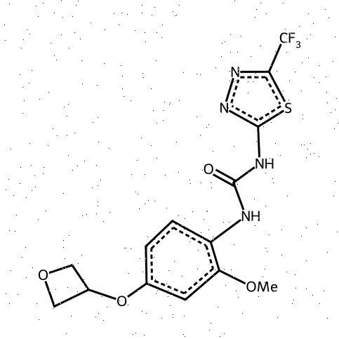 COc1cc(OC2COC2)ccc1NC(=O)Nc1nnc(C(F)(F)F)s1